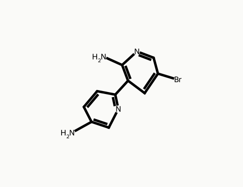 Nc1ccc(-c2cc(Br)cnc2N)nc1